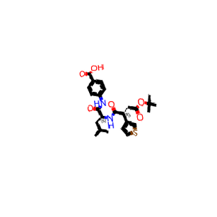 CC(C)C[C@H](NC(=O)[C@H](CC(=O)OC(C)(C)C)c1ccsc1)C(=O)Nc1ccc(C(=O)O)cc1